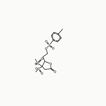 Cc1ccc(S(=O)(=O)OCCC2OC(=O)CC2(S(C)(=O)=O)S(C)(=O)=O)cc1